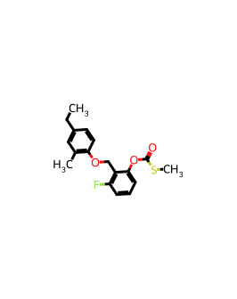 CCc1ccc(OCc2c(F)cccc2OC(=O)SC)c(C)c1